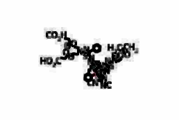 [C-]#[N+]c1nc(/N=N/c2sc(N(CCOC(=O)CCC(=O)O)CCOC(=O)CCC(=O)O)nc2-c2ccccc2)n(Cc2ccccc2Cn2c(/N=N/c3sc(N(CC)CCOC(=O)C(=C)C)nc3C(C)(C)C)nc([N+]#[C-])c2[N+]#[C-])c1[N+]#[C-]